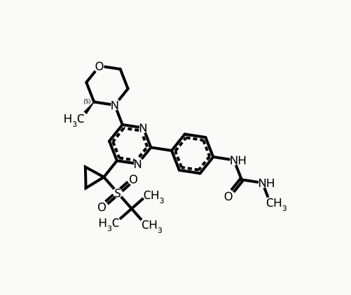 CNC(=O)Nc1ccc(-c2nc(N3CCOC[C@@H]3C)cc(C3(S(=O)(=O)C(C)(C)C)CC3)n2)cc1